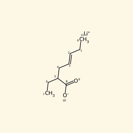 CCC=CCC(CC)C(=O)[O-].[Li+]